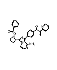 Nc1nccn2c(C3CCCN3OC(=O)c3ccccc3)nc(-c3ccc(C(=O)Nc4ccccn4)cc3)c12